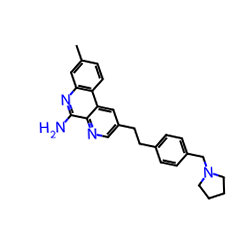 Cc1ccc2c(c1)nc(N)c1ncc(CCc3ccc(CN4CCCC4)cc3)cc12